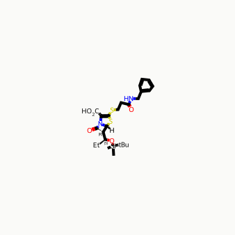 CC[C@H](O[Si](C)(C)C(C)(C)C)[C@@H]1C(=O)N2C(C(=O)O)=C(SCCC(=O)NCc3ccccc3)S[C@H]12